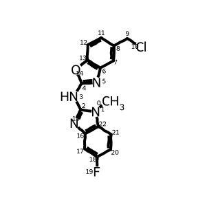 Cn1c(Nc2nc3cc(CCl)ccc3o2)nc2cc(F)ccc21